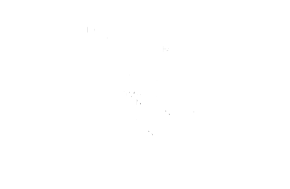 COc1cc(C(C)(C)O)cc(Br)c1Oc1nc(C)nc(-c2ccccc2C(F)(F)F)n1